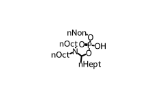 CCCCCCCCCOP(=O)(O)OC(CCCCCCC)N(CCCCCCCC)CCCCCCCC